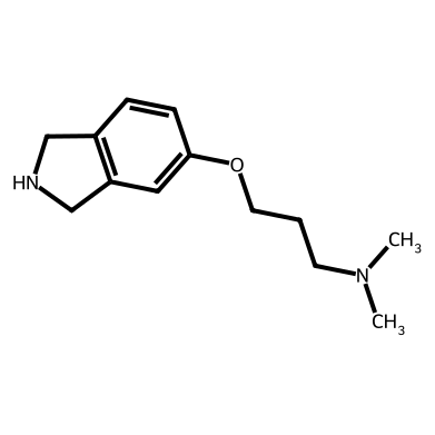 CN(C)CCCOc1ccc2c(c1)CNC2